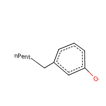 CCCCCCc1cccc([O])c1